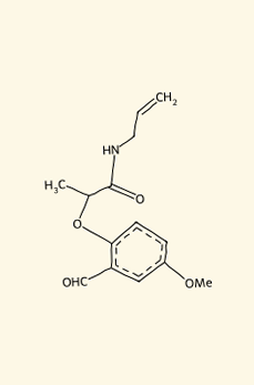 C=CCNC(=O)C(C)Oc1ccc(OC)cc1C=O